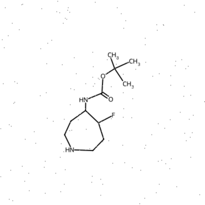 CC(C)(C)OC(=O)NC1CCNCCC1F